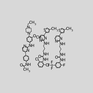 CCN1CCN(c2ccc(Nc3nccc(-c4ccc(NC(C)=O)cc4)n3)cc2OC)CC1.Cc1csc(-c2ccnc(NCCCNC(=O)Nc3c(Cl)cccc3Cl)n2)c1.Cc1csc(-c2ccnc(NCCCNC(=O)Nc3cc(C(F)(F)F)ccc3F)n2)c1